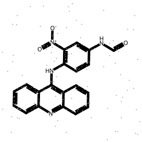 O=CNc1ccc(Nc2c3ccccc3nc3ccccc23)c([N+](=O)[O-])c1